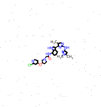 Cc1cnc(Nc2cc(C)n(C)n2)nc1-c1c[nH]c2c(NC(=O)CN3CCC(Oc4ccnc(Cl)c4)C3)cccc12